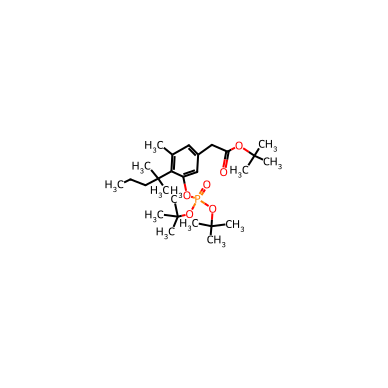 CCCC(C)(C)c1c(C)cc(CC(=O)OC(C)(C)C)cc1OP(=O)(OC(C)(C)C)OC(C)(C)C